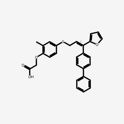 Cc1cc(SC/C=C(\c2ccc(-c3ccccc3)cc2)c2ccco2)ccc1OCC(=O)O